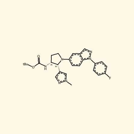 Cn1cc([C@@H]2[C@H](NC(=O)OC(C)(C)C)CCN2c2ccc3c(cnn3-c3ccc(F)cc3)c2)cn1